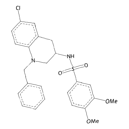 COc1ccc(S(=O)(=O)NC2Cc3cc(Cl)ccc3N(Cc3ccccc3)C2)cc1OC